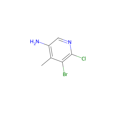 Cc1c(N)cnc(Cl)c1Br